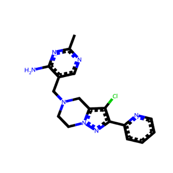 Cc1ncc(CN2CCn3nc(-c4ccccn4)c(Cl)c3C2)c(N)n1